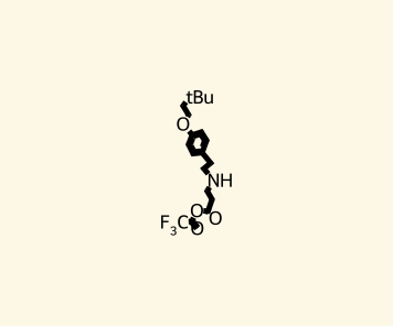 CC(C)(C)CCOc1ccc(CCNCCC(=O)OC(=O)C(F)(F)F)cc1